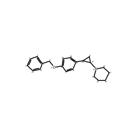 c1ccc(COc2ccc(C3CC3N3CCCCC3)cc2)cc1